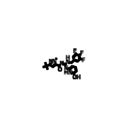 Cn1nc(C(C)(C)C)cc1C(=O)/N=C(/NCc1cc(F)c(F)c(F)c1)Nc1cccc(O)n1